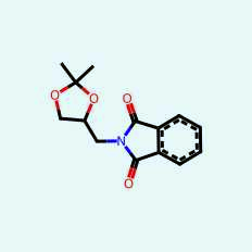 CC1(C)OCC(CN2C(=O)c3ccccc3C2=O)O1